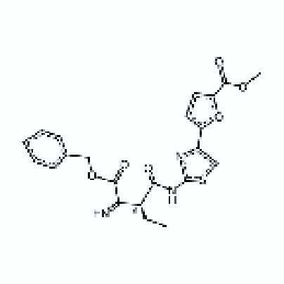 CC[C@@H](C(=N)C(=O)OCc1ccccc1)C(=O)Nc1nc(-c2ccc(C(=O)OC)o2)cs1